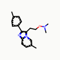 Cc1ccc(-c2nc3ccc(C)cn3c2CCON(C)C)cc1